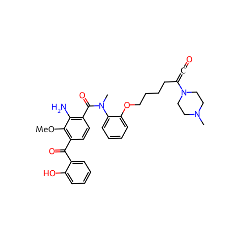 COc1c(C(=O)c2ccccc2O)ccc(C(=O)N(C)c2ccccc2OCCCCC(=C=O)N2CCN(C)CC2)c1N